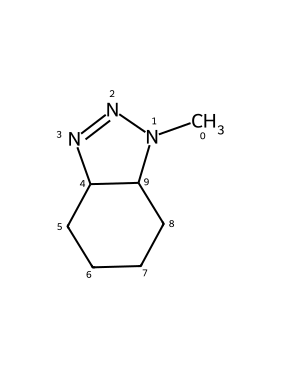 CN1N=NC2CCCCC21